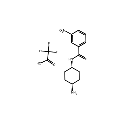 N[C@H]1CC[C@@H](NC(=O)c2cccc([N+](=O)[O-])c2)CC1.O=C(O)C(F)(F)F